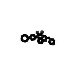 O=c1c(=O)n(C2CCN(C3CCCCCCC3)CC2)c2ccccc2n1CC(O)CN1CCOCC1